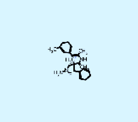 C=C(N/C(C)=C/C1=CCCC(C)=C1)C(C)(CC1=CCCC=C1)CN(N)F